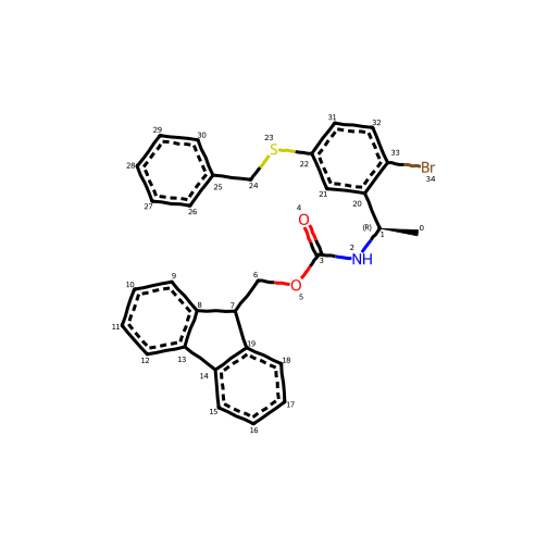 C[C@@H](NC(=O)OCC1c2ccccc2-c2ccccc21)c1cc(SCc2ccccc2)ccc1Br